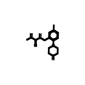 CNC(=O)NCc1cc(C)ccc1N1CCNCC1